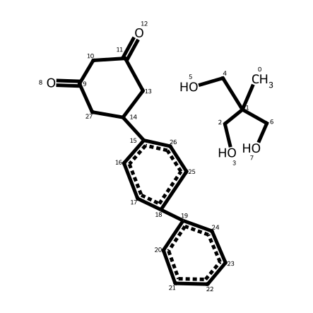 CC(CO)(CO)CO.O=C1CC(=O)CC(c2ccc(-c3ccccc3)cc2)C1